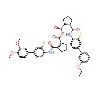 CCOc1cccc(-c2ccc(NC(=O)C3=C(C(=O)OC(=O)C4=C(C(=O)Nc5ccc(-c6ccc(OC)c(OC)c6)cc5F)CCC4)CCC3)c(F)c2)c1